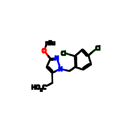 CCCCOc1cc(CC(=O)O)n(Cc2ccc(Cl)cc2Cl)n1